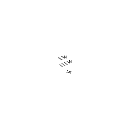 C#N.C#N.[Ag]